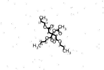 CCCOC(=O)CC(CC(=O)OCCC)(OC(C)=O)C(=O)OCCC